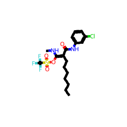 CCCCCCC/C(C(=O)Nc1cccc(Cl)c1)=C(/NC)OS(=O)(=O)C(F)(F)F